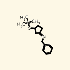 C[Si](C)(C)SC1CC/C(=N/Cc2ccccc2)C1